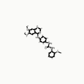 COc1ccccc1NC(=O)Nc1ccc(Nc2ncnc3cc(OC)c(OC)cc23)cc1